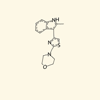 Cc1[nH]c2ccccc2c1-c1csc(N2CCOCC2)n1